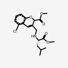 COC(=O)C1Oc2cccc(Cl)c2C=C1CN[C@@H](CC(C)C)C(=O)OC